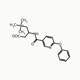 C[N+](C)(C)CC(CC(=O)[O-])NC(=O)c1ccc(Oc2ccccc2)nc1